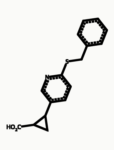 O=C(O)C1CC1c1ccc(SCc2ccccc2)nc1